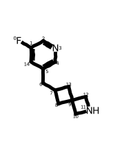 Fc1cncc(CC2CC3(CNC3)C2)c1